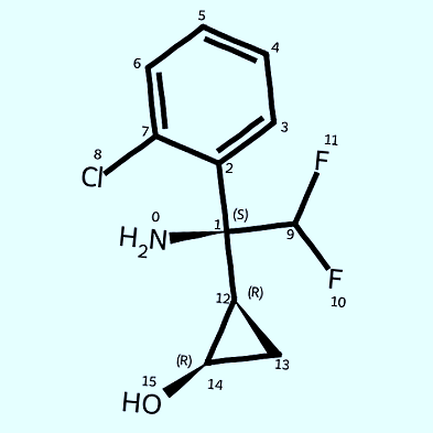 N[C@@](c1ccccc1Cl)(C(F)F)[C@H]1C[C@H]1O